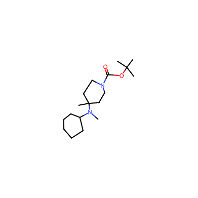 CN(C1CCCCC1)C1(C)CCN(C(=O)OC(C)(C)C)CC1